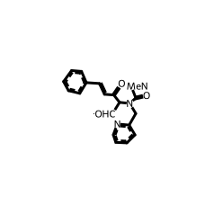 CNC(=O)N(Cc1ccccn1)C([C]=O)C(=O)C=Cc1ccccc1